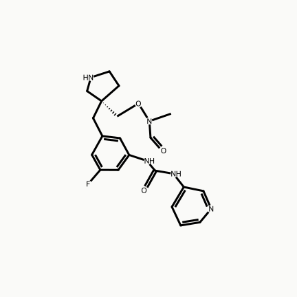 CN(C=O)OC[C@@]1(Cc2cc(F)cc(NC(=O)Nc3cccnc3)c2)CCNC1